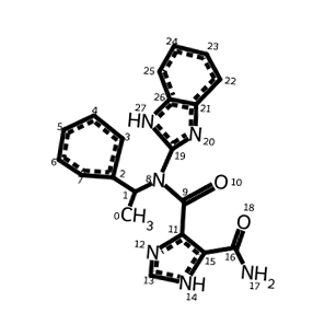 CC(c1ccccc1)N(C(=O)c1nc[nH]c1C(N)=O)c1nc2ccccc2[nH]1